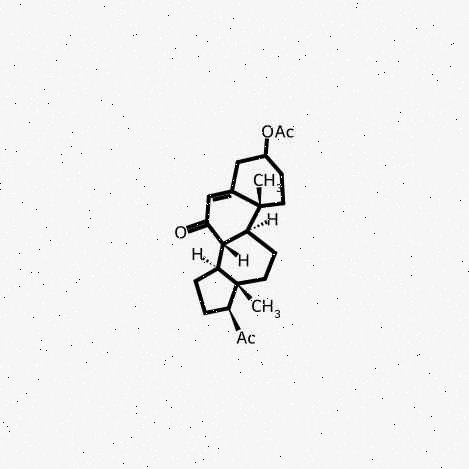 CC(=O)OC1CC[C@@]2(C)C(=CC(=O)[C@H]3[C@@H]4CC[C@H](C(C)=O)[C@@]4(C)CC[C@@H]32)C1